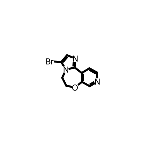 Brc1cnc2n1CCOc1cnccc1-2